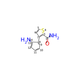 NC(=O)c1sccc1-c1ccccc1N